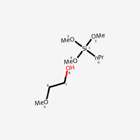 CCC[Si](OC)(OC)OC.COCCO